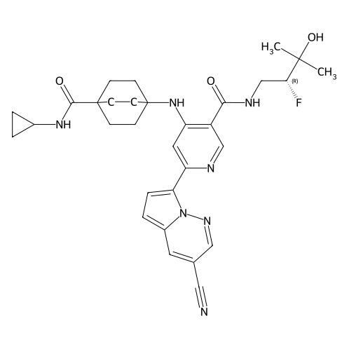 CC(C)(O)[C@H](F)CNC(=O)c1cnc(-c2ccc3cc(C#N)cnn23)cc1NC12CCC(C(=O)NC3CC3)(CC1)CC2